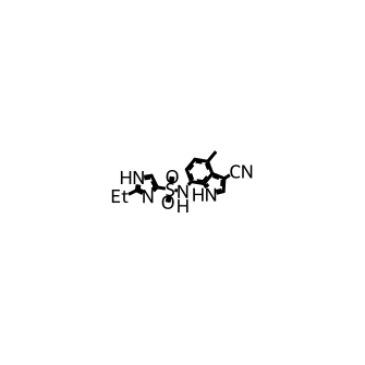 CCc1nc(S(=O)(=O)Nc2ccc(C)c3c(C#N)c[nH]c23)c[nH]1